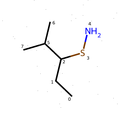 CCC(SN)C(C)C